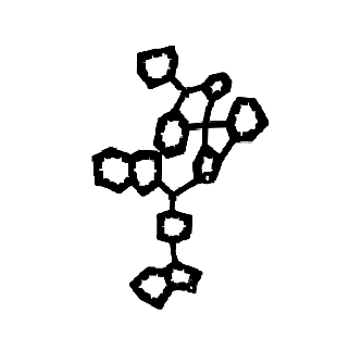 c1ccc(N2c3ccccc3C3(c4ccccc4-c4ccc(N(c5ccc(-c6coc7ccccc67)cc5)c5ccc6ccccc6c5)cc43)c3ccccc32)cc1